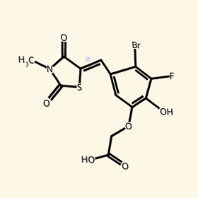 CN1C(=O)S/C(=C\c2cc(OCC(=O)O)c(O)c(F)c2Br)C1=O